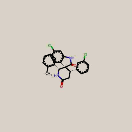 Cc1ccccc1[C@H]1NC(=O)C[C@@H](c2cccc(Cl)c2)[C@]12C(=O)Nc1cc(Cl)ccc12